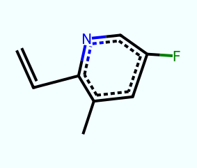 C=Cc1ncc(F)cc1C